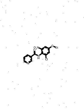 CCOc1cc(Cl)c(NC(=O)c2cccnc2)c([N+](=O)[O-])c1